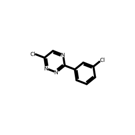 Clc1cccc(-c2ncc(Cl)nn2)c1